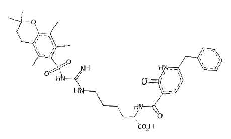 Cc1c(C)c(S(=O)(=O)NC(=N)NCCCC[C@H](NC(=O)c2ccc(Cc3ccccc3)[nH]c2=O)C(=O)O)c(C)c2c1OC(C)(C)CC2